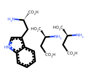 N[C@@H](CC(=O)O)C(=O)O.N[C@@H](CC(=O)O)C(=O)O.N[C@@H](Cc1c[nH]c2ccccc12)C(=O)O